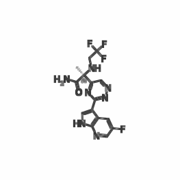 C[C@@](NCC(F)(F)F)(C(N)=O)c1cnnc(-c2c[nH]c3ncc(F)cc23)n1